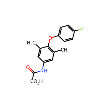 Cc1cc(NC(=O)C(=O)O)cc(C)c1Oc1ccc(F)cc1